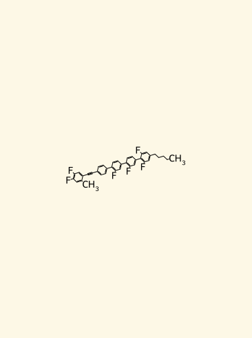 CCCCCc1cc(F)c(-c2ccc(-c3ccc(-c4ccc(C#Cc5cc(F)c(F)cc5C)cc4)c(F)c3)c(F)c2)c(F)c1